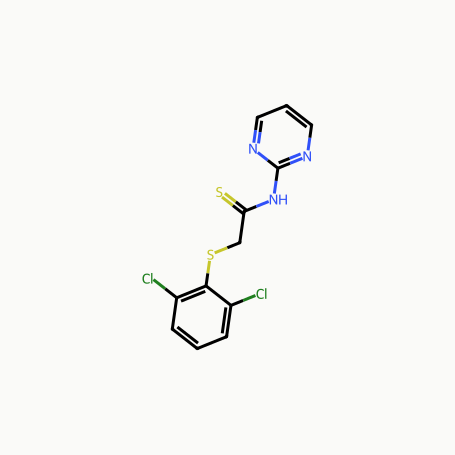 S=C(CSc1c(Cl)cccc1Cl)Nc1ncccn1